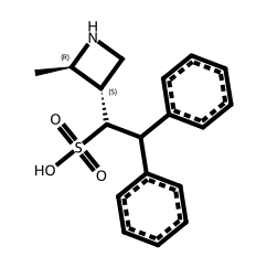 C[C@H]1NC[C@@H]1C(C(c1ccccc1)c1ccccc1)S(=O)(=O)O